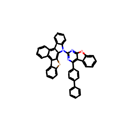 c1ccc(-c2ccc(-c3nc(-n4c5ccccc5c5c6ccccc6c6c7ccccc7sc6c54)nc4oc5ccccc5c34)cc2)cc1